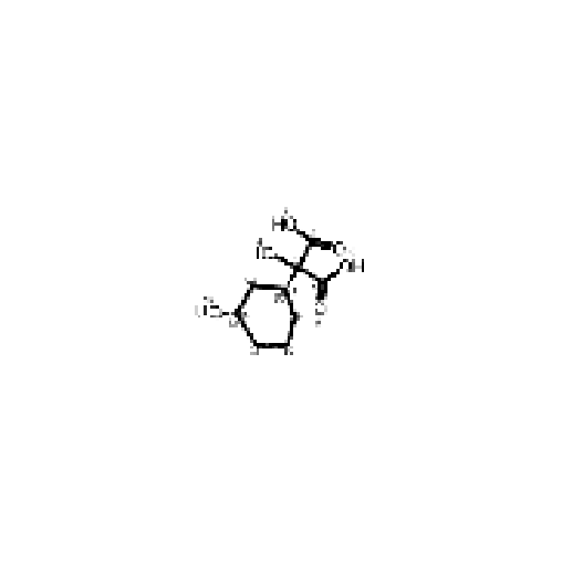 O=C(O)C(O)(C(=O)O)[C@H]1CCC[C@H](O)C1